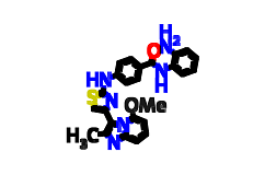 COc1cccc2nc(C)c(-c3csc(Nc4ccc(C(=O)Nc5ccccc5N)cc4)n3)n12